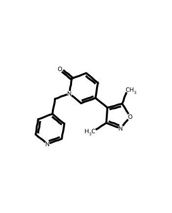 Cc1noc(C)c1-c1ccc(=O)n(Cc2ccncc2)c1